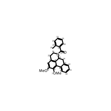 COc1cc2c3c(c1OC)-c1ccccc1CC3N(C(=O)c1ccccc1C)CC2